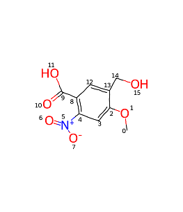 COc1cc([N+](=O)[O-])c(C(=O)O)cc1CO